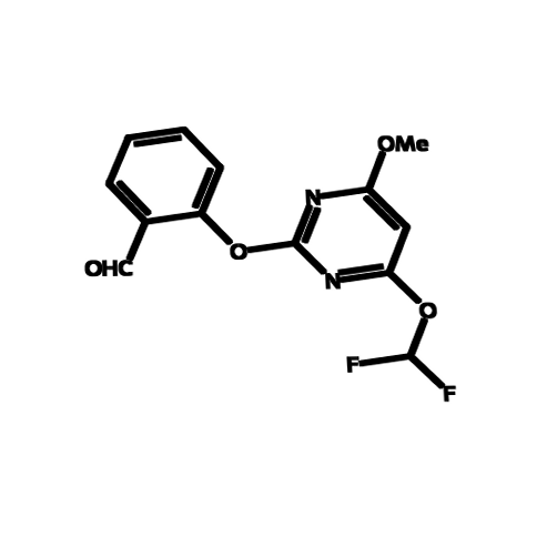 COc1cc(OC(F)F)nc(Oc2ccccc2C=O)n1